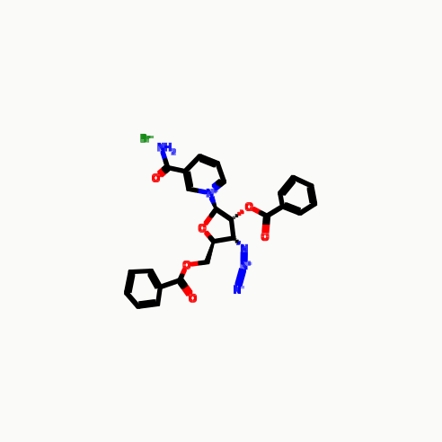 [Br-].[N-]=[N+]=N[C@H]1[C@@H](OC(=O)c2ccccc2)[C@H]([n+]2cccc(C(N)=O)c2)O[C@@H]1COC(=O)c1ccccc1